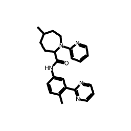 Cc1ccc(NC(=O)C2CCC(C)CCN2c2ccccn2)cc1-c1ncccn1